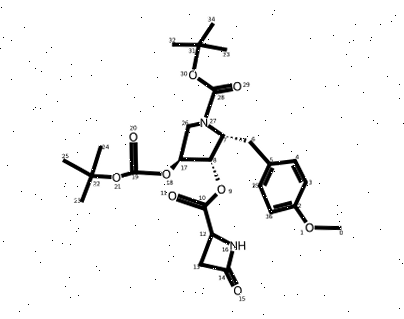 COc1ccc(C[C@@H]2[C@H](OC(=O)C3CC(=O)N3)[C@@H](OC(=O)OC(C)(C)C)CN2C(=O)OC(C)(C)C)cc1